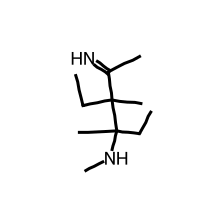 CCC(C)(NC)C(C)(CC)C(C)=N